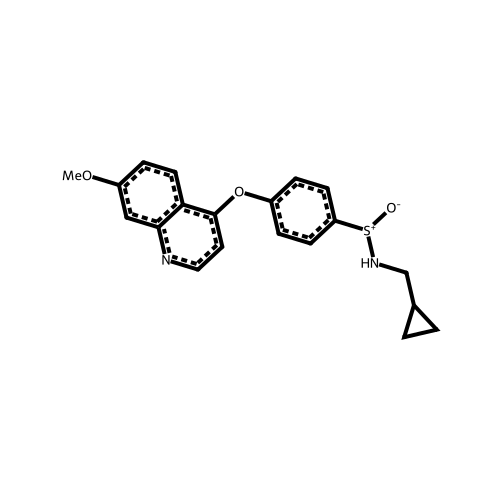 COc1ccc2c(Oc3ccc([S+]([O-])NCC4CC4)cc3)ccnc2c1